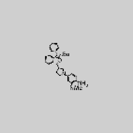 CNc1cc(N2CCC(CO[Si](c3ccccc3)(c3ccccc3)C(C)(C)C)C2)ccc1N